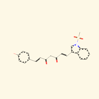 CS(=O)(=O)n1cc(C=CC(=O)CC(=O)C=Cc2ccc(O)cc2)c2ccccc21